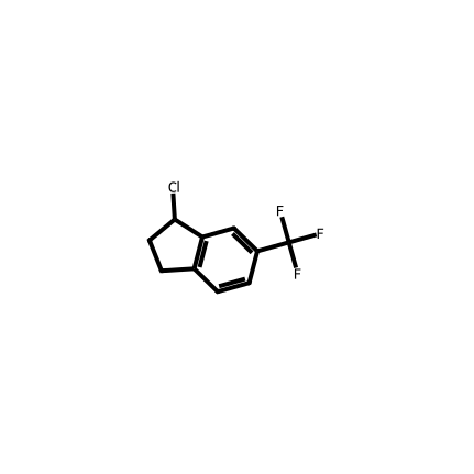 FC(F)(F)c1ccc2c(c1)C(Cl)CC2